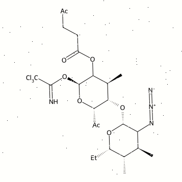 CC[C@@H]1O[C@H](O[C@H]2[C@H](C)C(OC(=O)CCC(C)=O)[C@H](OC(=N)C(Cl)(Cl)Cl)O[C@H]2C(C)=O)C(N=[N+]=[N-])[C@@H](C)[C@@H]1C